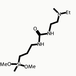 CCN(C)CCNC(=O)NCCC[Si](C)(OC)OC